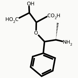 C[C@H](N)C(OC(C(=O)O)C(O)C(=O)O)c1ccccc1